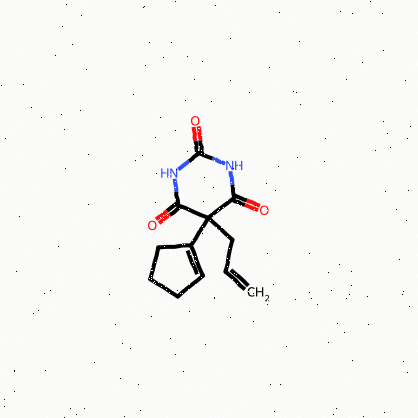 C=CCC1(C2=CCCC2)C(=O)NC(=O)NC1=O